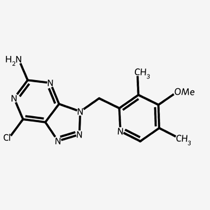 COc1c(C)cnc(Cn2nnc3c(Cl)nc(N)nc32)c1C